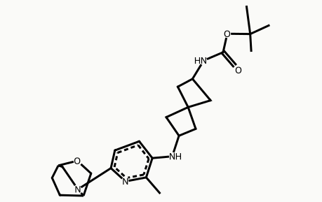 Cc1nc(N2CC3CCC2CO3)ccc1NC1CC2(CC(NC(=O)OC(C)(C)C)C2)C1